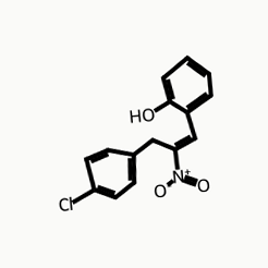 O=[N+]([O-])/C(=C/c1ccccc1O)Cc1ccc(Cl)cc1